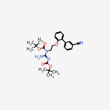 CC(C)(C)OC(=O)N=C(N)N(CCOc1ccccc1-c1cccc(C#N)c1)C(=O)OC(C)(C)C